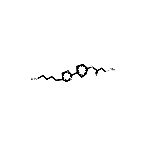 CCCCCCCCCCCCCCc1cnc(-c2ccc(OC(=O)CC[C@@H](C)CC)cc2)nc1